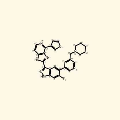 Fc1cc2[nH]nc(-c3nc4c(-c5ccsc5)nccc4[nH]3)c2cc1-c1cncc(CN2CCCCC2)c1